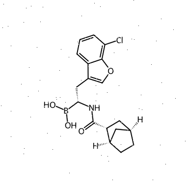 O=C(N[C@@H](Cc1coc2c(Cl)cccc12)B(O)O)[C@@H]1C[C@H]2CC[C@@H]1C2